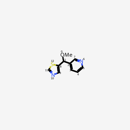 COC(c1cccnc1)c1cncs1